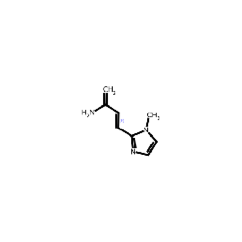 C=C(N)/C=C/c1nccn1C